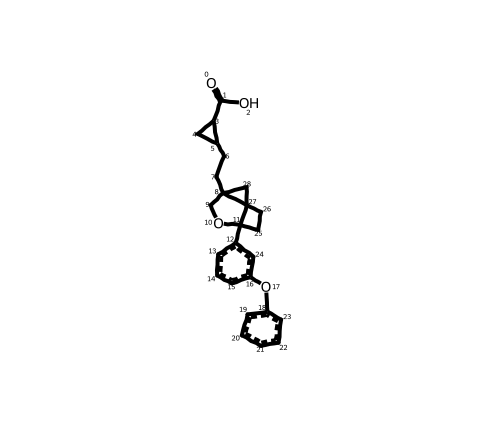 O=C(O)C1CC1CCC12COC3(c4cccc(Oc5ccccc5)c4)CCC13C2